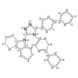 C1=Cc2c(c3ccccc3n2-c2nnc(-c3ccc(-c4ccccc4)cc3)n2C2=CC=C(c3ccccc3)CC2)CC1